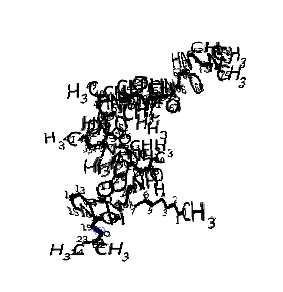 CCCCCCCC[C@H](NC(=O)[C@@H]1CCCN1C(=O)/C=C/[C@@H](C)CC)C(=O)N[C@H](C(=O)NC(C)(C)C(=O)N[C@@H](CC(C)C)C(=O)N[C@@H](CC(C)C)C(=O)NC(C)(C)C(=O)NC(C)(C)C(=O)NCCC(=O)N[C@@H](C)CN(C)C)[C@H](O)C(C)C